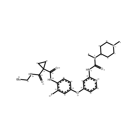 CN1CCC(N(C)C(=O)Nc2cc(Oc3ccc(NC(=O)C4(C(=O)NCC(C)(C)C)CC4)c(F)c3)ccn2)CC1